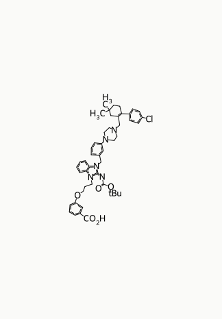 CC1(C)CCC(c2ccc(Cl)cc2)=C(CN2CCN(c3cccc(Cn4/c(=N/C(=O)OC(C)(C)C)n(CCCOc5cccc(C(=O)O)c5)c5ccccc54)c3)CC2)C1